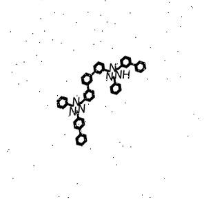 c1ccc(C2=NC(c3cccc(-c4cccc(-c5cccc(-c6nc(-c7ccccc7)nc(-c7ccc(-c8ccccc8)cc7)n6)c5)c4)c3)=NC(c3cccc(-c4ccccc4)c3)N2)cc1